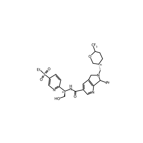 CCS(=O)(=O)c1ccc([C@H](CO)NC(=O)c2cnc3c(c2)CN(C[C@H]2CCC(C(F)(F)F)OC2)C3C(C)C)nc1